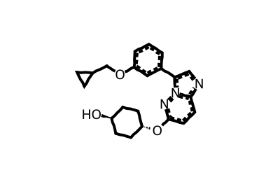 O[C@H]1CC[C@H](Oc2ccc3ncc(-c4cccc(OCC5CC5)c4)n3n2)CC1